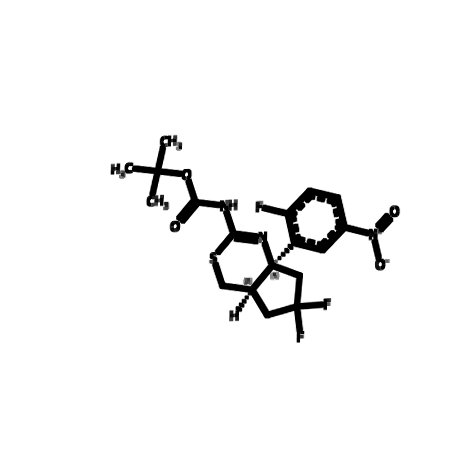 CC(C)(C)OC(=O)NC1=N[C@@]2(c3cc([N+](=O)[O-])ccc3F)CC(F)(F)C[C@H]2CS1